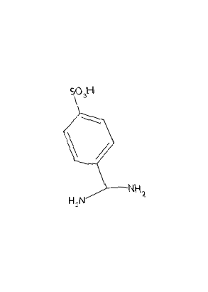 NC(N)c1ccc(S(=O)(=O)O)cc1